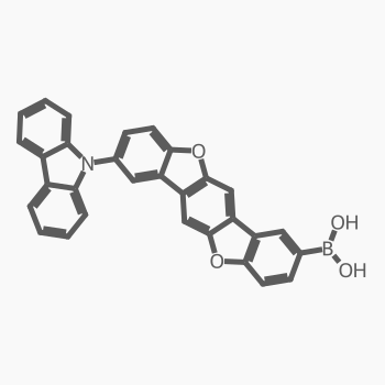 OB(O)c1ccc2oc3cc4c(cc3c2c1)oc1ccc(-n2c3ccccc3c3ccccc32)cc14